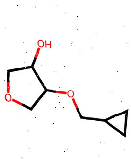 OC1COCC1OCC1CC1